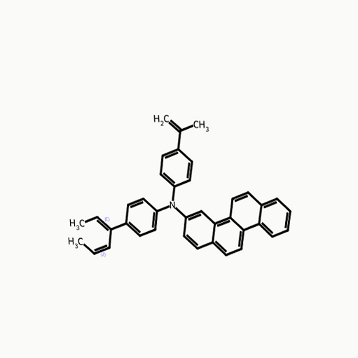 C=C(C)c1ccc(N(c2ccc(C(/C=C\C)=C/C)cc2)c2ccc3ccc4c5ccccc5ccc4c3c2)cc1